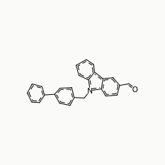 O=Cc1ccc2c(c1)c1ccccc1n2Cc1ccc(-c2ccccc2)cc1